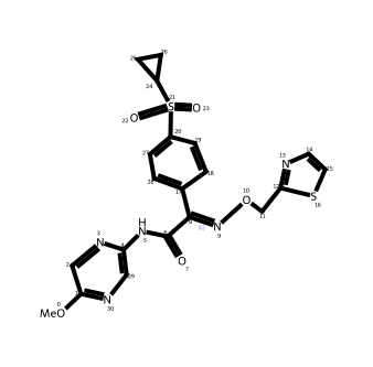 COc1cnc(NC(=O)/C(=N/OCc2nccs2)c2ccc(S(=O)(=O)C3CC3)cc2)cn1